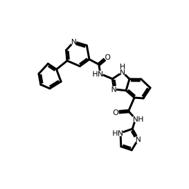 O=C(Nc1nc2c(C(=O)Nc3ncc[nH]3)cccc2[nH]1)c1cncc(-c2ccccc2)c1